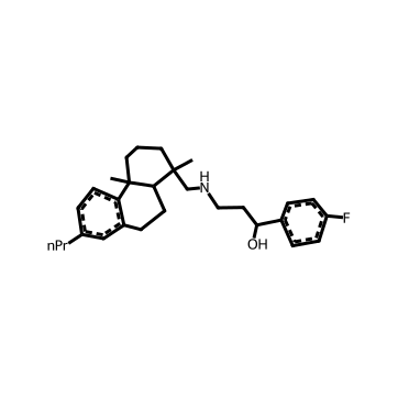 CCCc1ccc2c(c1)CCC1C(C)(CNCCC(O)c3ccc(F)cc3)CCCC21C